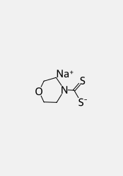 S=C([S-])N1CCOCC1.[Na+]